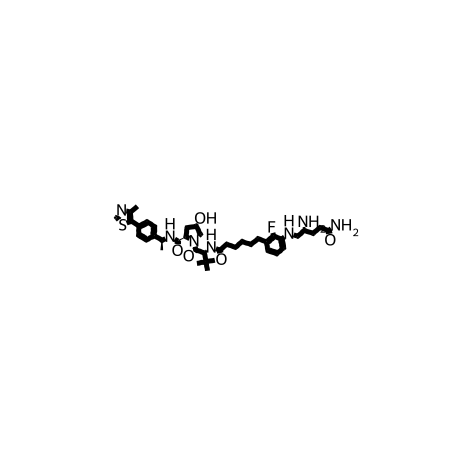 Cc1ncsc1-c1ccc([C@H](C)NC(=O)[C@@H]2C[C@@H](O)CN2C(=O)[C@@H](NC(=O)CCCCCc2cccc(NC[C@@H](N)CCC(N)=O)c2F)C(C)(C)C)cc1